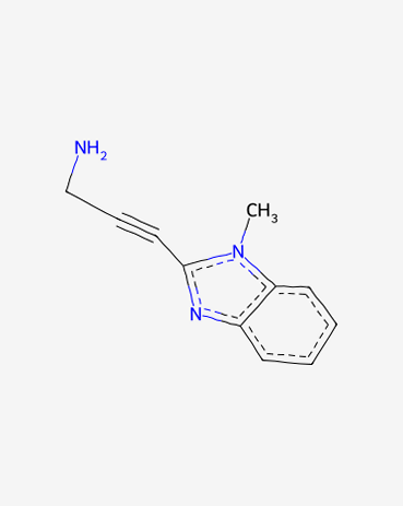 Cn1c(C#CCN)nc2ccccc21